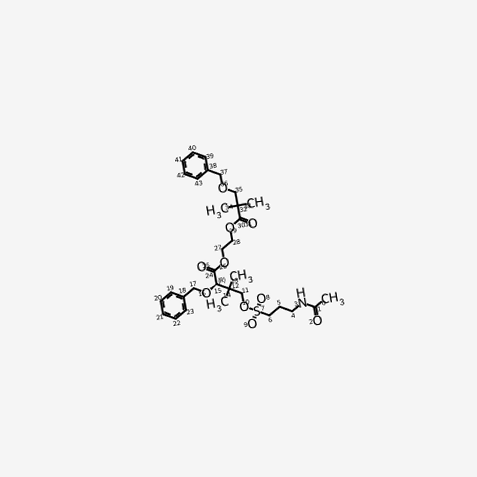 CC(=O)NCCCS(=O)(=O)OCC(C)(C)[C@@H](OCc1ccccc1)C(=O)OCCOC(=O)C(C)(C)COCc1ccccc1